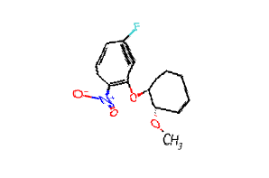 CO[C@H]1CCCC[C@@H]1Oc1cc(F)ccc1[N+](=O)[O-]